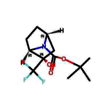 CC(C)(C)OC(=O)N1[C@H]2CC[C@@H]1[C@@](O)(C(F)(F)F)C2